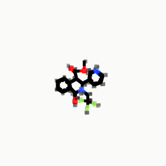 COC(=O)C1c2ccccc2C(=O)N(CC(F)(F)F)C1c1cccnc1